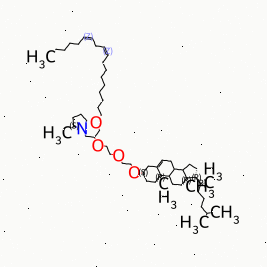 CCCCC/C=C\C/C=C\CCCCCCCCOCC(CN1CCC[C@@H]1C)OCCOCCO[C@H]1CC[C@@]2(C)C(=CCC3C2CC[C@@]2(C)C3CC[C@@H]2[C@H](C)CCCC(C)C)C1